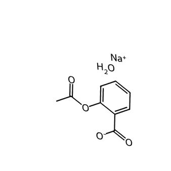 CC(=O)Oc1ccccc1C(=O)[O-].O.[Na+]